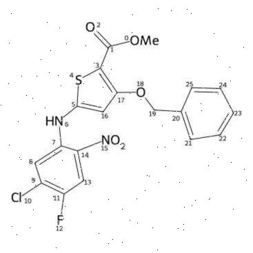 COC(=O)c1sc(Nc2cc(Cl)c(F)cc2[N+](=O)[O-])cc1OCc1ccccc1